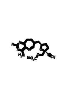 C#C[C@@]1(COC(=O)OCC)CC[C@H](CC2C=Nc3c(N)nc(F)nc3CC2)O1